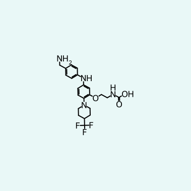 NCc1ccc(Nc2ccc(N3CCC(C(F)(F)F)CC3)c(OCCNC(=O)O)c2)cc1